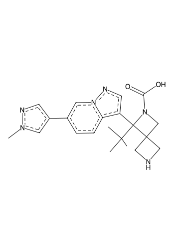 Cn1cc(-c2ccc3c(C4(C(C)(C)C)N(C(=O)O)CC45CNC5)cnn3c2)cn1